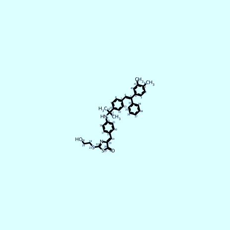 Cc1ccc(/C(=C/c2ccc(C(C)(C)Nc3ccc(/C=C4\N=C(SCCO)SC4=O)cc3)cc2)c2ccccc2)cc1C